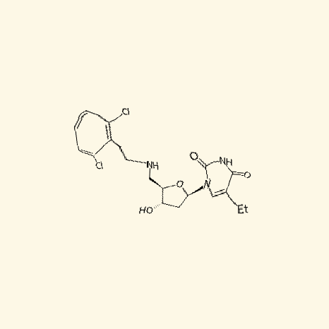 CCc1cn([C@H]2C[C@H](O)[C@@H](CNCCc3c(Cl)cccc3Cl)O2)c(=O)[nH]c1=O